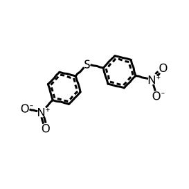 O=[N+]([O-])c1ccc(Sc2ccc([N+](=O)[O-])cc2)cc1